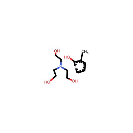 Cc1ccccc1O.OCCN(CCO)CCO